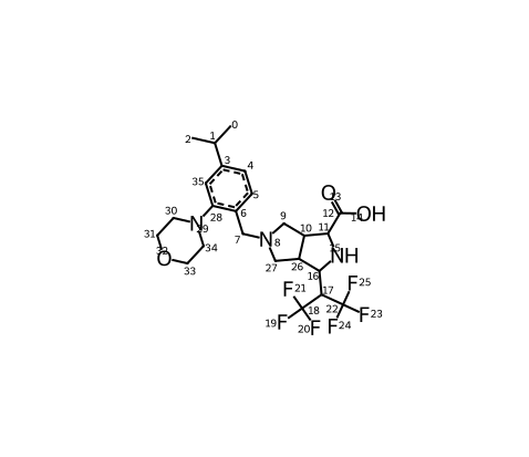 CC(C)c1ccc(CN2CC3C(C(=O)O)NC(C(C(F)(F)F)C(F)(F)F)C3C2)c(N2CCOCC2)c1